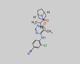 Cc1c(Nc2ccc(C#N)cc2Cl)ncnc1O[C@@H]1C[C@H]2CC[C@@H](C1)N2C(=O)C(C)C